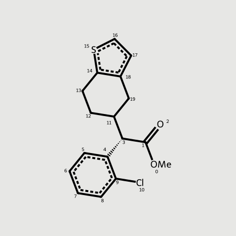 COC(=O)[C@H](c1ccccc1Cl)C1CCc2sccc2C1